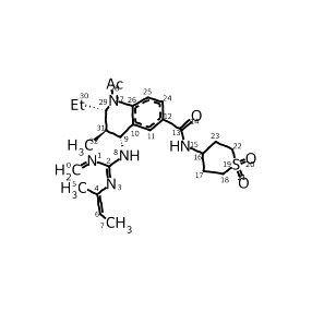 C=N/C(=N\C(C)=C/C)N[C@H]1c2cc(C(=O)NC3CCS(=O)(=O)CC3)ccc2N(C(C)=O)[C@@H](CC)[C@@H]1C